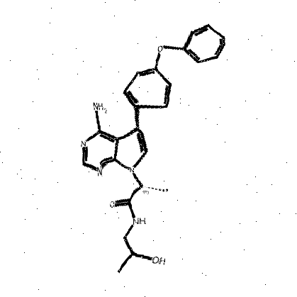 CC(O)CNC(=O)[C@@H](C)n1cc(-c2ccc(Oc3ccccc3)cc2)c2c(N)ncnc21